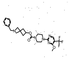 COc1nc(N2C[C@@H](C)N(C(=O)OC3CC4(C3)CN(Cc3ccccc3)C4)[C@@H](C)C2)ncc1C(F)(F)F